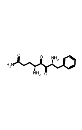 NC(=O)CC[C@H](N)C(=O)C(=O)[C@@H](N)Cc1ccccc1